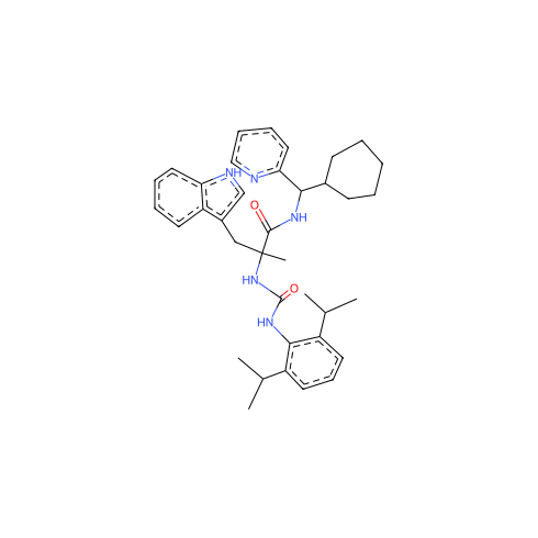 CC(C)c1cccc(C(C)C)c1NC(=O)NC(C)(Cc1c[nH]c2ccccc12)C(=O)NC(c1ccccn1)C1CCCCC1